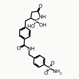 NS(=O)(=O)c1ccc(CNC(=O)c2ccc(CC3CC(=O)NS3(O)O)cc2)cc1